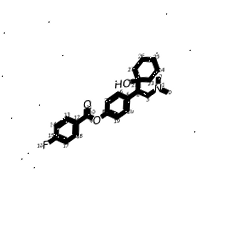 CN(C)CC(c1ccc(OC(=O)c2ccc(F)cc2)cc1)C1(O)CCCCC1